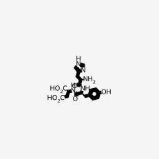 N[C@@H](Cc1c[nH]cn1)C(=O)N[C@@H](Cc1ccc(O)cc1)C(=O)N[C@@H](CC(=O)O)C(=O)O